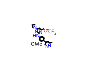 COc1cc(Nc2nc(COCC(F)(F)F)cc(N3CCC3)n2)ccc1-c1cnnc(C)c1